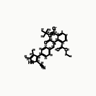 CCOC(=O)c1cccc([N+](=O)[O-])c1N(Cc1ccc(-c2c(C#N)[nH]c(C)c2C)cc1)C(=O)OC(C)(C)C